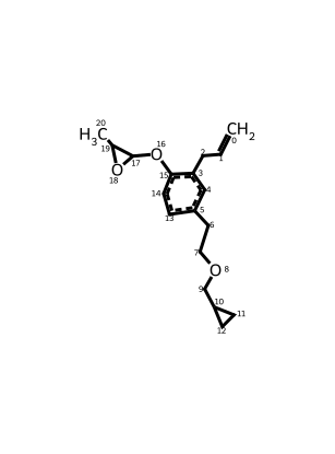 C=CCc1cc(CCOCC2CC2)ccc1OC1OC1C